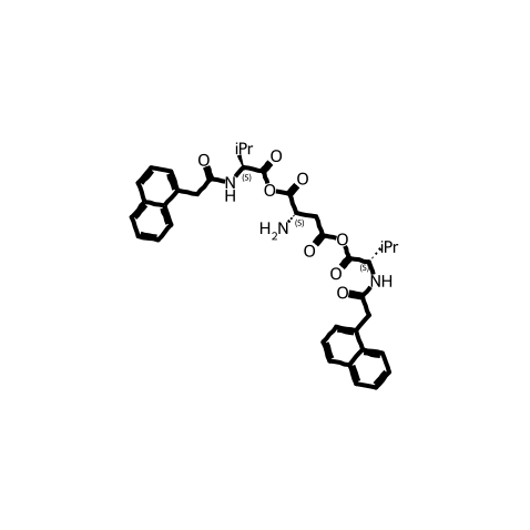 CC(C)[C@H](NC(=O)Cc1cccc2ccccc12)C(=O)OC(=O)C[C@H](N)C(=O)OC(=O)[C@@H](NC(=O)Cc1cccc2ccccc12)C(C)C